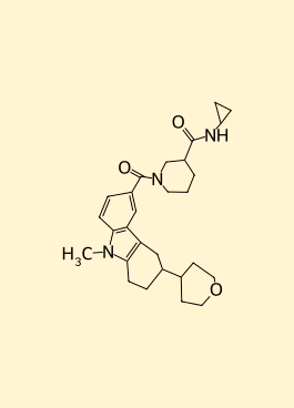 Cn1c2c(c3cc(C(=O)N4CCCC(C(=O)NC5CC5)C4)ccc31)CC(C1CCOCC1)CC2